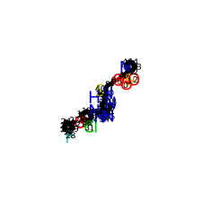 O=S(=O)=C(COCCCc1nc(-c2cc3c(Nc4ccc(OCc5cccc(F)c5)c(Cl)c4)ncnc3cn2)cs1)c1ccccn1